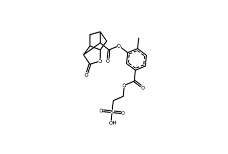 Cc1ccc(C(=O)OCCS(=O)(=O)O)cc1OC(=O)C1C2CC3OC(=O)C1C3C2